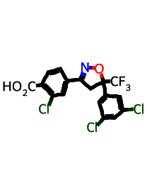 O=C(O)c1ccc(C2=NOC(c3cc(Cl)cc(Cl)c3)(C(F)(F)F)C2)cc1Cl